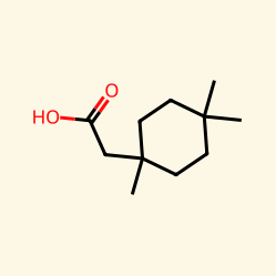 CC1(C)CCC(C)(CC(=O)O)CC1